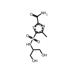 Cc1nc(C(N)=O)sc1S(=O)(=O)NC(CO)CO